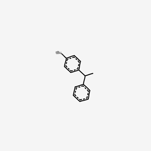 CC(c1ccccc1)c1ccc(C(C)(C)C)cc1